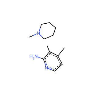 CN1CCCCC1.Cc1ccnc(N)c1C